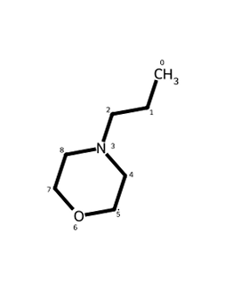 CCCN1C[CH]OCC1